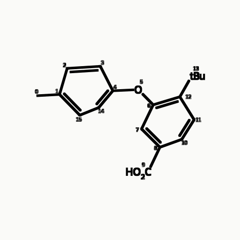 Cc1ccc(Oc2cc(C(=O)O)ccc2C(C)(C)C)cc1